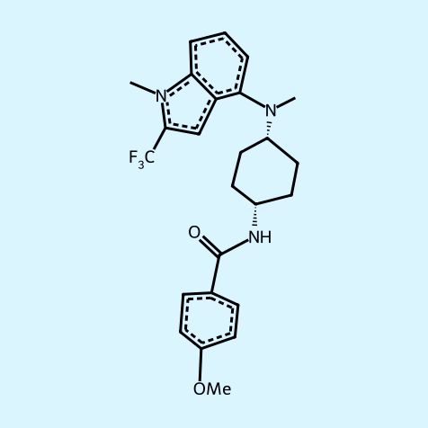 COc1ccc(C(=O)N[C@H]2CC[C@@H](N(C)c3cccc4c3cc(C(F)(F)F)n4C)CC2)cc1